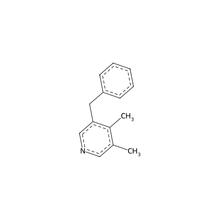 Cc1cncc(Cc2ccccc2)c1C